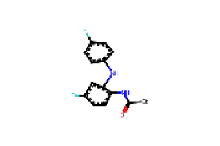 CCC(=O)Nc1ccc(F)cc1Nc1ccc(F)cc1